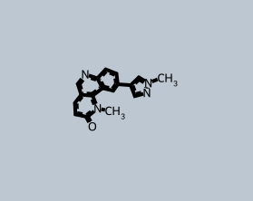 Cn1cc(-c2ccc3ncc4ccc(=O)n(C)c4c3c2)cn1